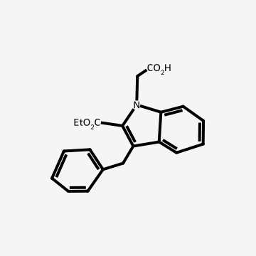 CCOC(=O)c1c(Cc2ccccc2)c2ccccc2n1CC(=O)O